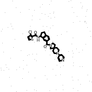 O=C(NC1CCc2ccc(C(=O)N3CCC4(CCN(c5ccncc5)CC4)C3)cc21)c1sccc1Cl